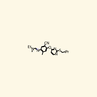 CCN(C)/C=N/c1cc(C#N)c(Oc2ccnc(SCC(C)C)n2)cc1C